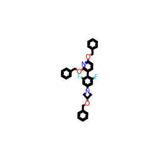 Fc1cc(N2CC(OCc3ccccc3)C2)cc(F)c1-c1ccc(OCc2ccccc2)nc1OCc1ccccc1